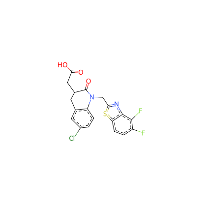 O=C(O)CC1Cc2cc(Cl)ccc2N(Cc2nc3c(F)c(F)ccc3s2)C1=O